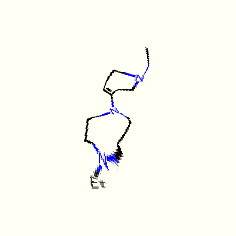 CCN1CCN(C2=CCN(C)C2)CC1